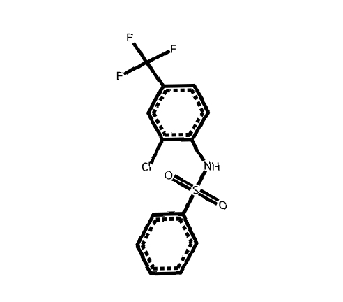 O=S(=O)(Nc1ccc(C(F)(F)F)cc1Cl)c1ccccc1